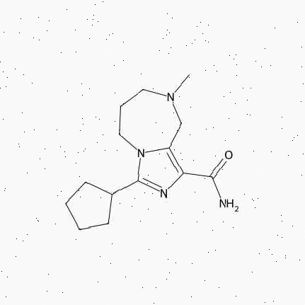 CN1CCCn2c(C3CCCC3)nc(C(N)=O)c2C1